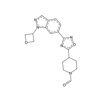 O=CN1CCC(c2nc(-c3ccc4cnn(C5COC5)c4c3)no2)CC1